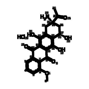 COc1cccc2c1C(=O)c1c(O)c3c(c(O)c1C2=O)C[C@@](N)(C(C)=O)C[C@@H]3O.Cl